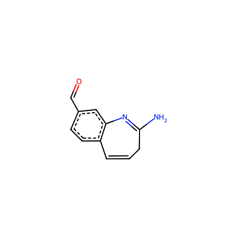 NC1=Nc2cc(C=O)ccc2C=CC1